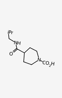 CC(C)CNC(=O)C1CCN(C(=O)O)CC1